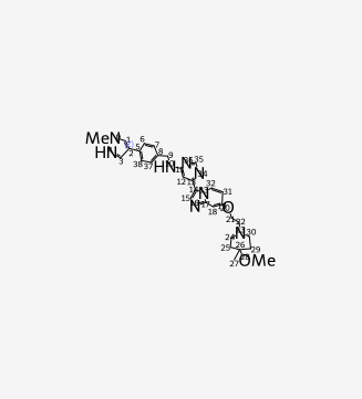 CN/C=C(\C=N)c1ccc(CNc2cc(-c3cnc4cc(OCCN5CCC(C)(OC)CC5)ccn34)ncn2)cc1